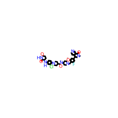 COc1cc(-c2cn(C)c(=O)c3cnccc23)cc(F)c1CN1CCC(N(C)C(=O)C2CCN(c3ccc(NC4CCC(=O)NC4=O)cc3Cl)CC2)CC1